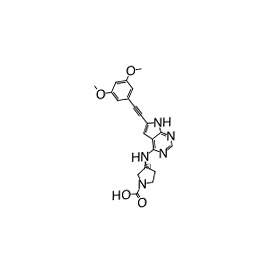 COc1cc(C#Cc2cc3c(N[C@H]4CCN(C(=O)O)C4)ncnc3[nH]2)cc(OC)c1